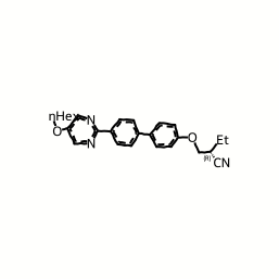 CCCCCCOc1cnc(-c2ccc(-c3ccc(OC[C@@H](C#N)CC)cc3)cc2)nc1